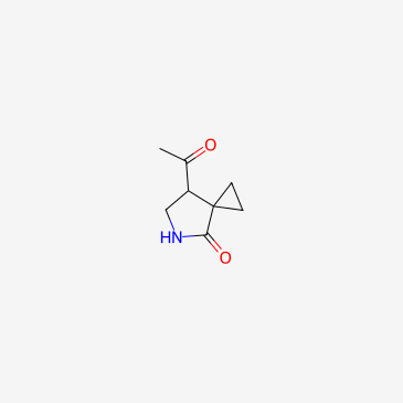 CC(=O)C1CNC(=O)C12CC2